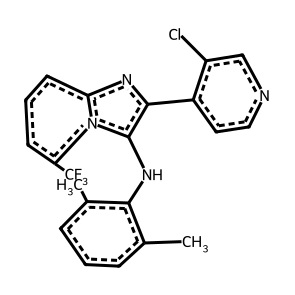 Cc1cccc(C)c1Nc1c(-c2ccncc2Cl)nc2cccc(C(F)(F)F)n12